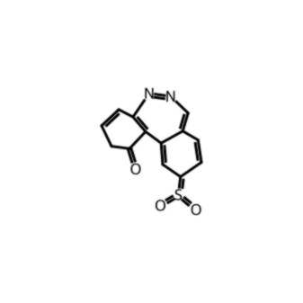 O=C1CC=Cc2nncc3ccc(=S(=O)=O)cc-3c21